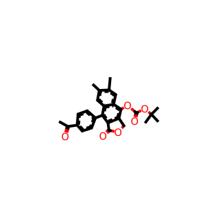 CC(=O)c1ccc(-c2c3c(c(OC(=O)OC(C)(C)C)c4cc(C)c(C)cc24)COC3=O)cc1